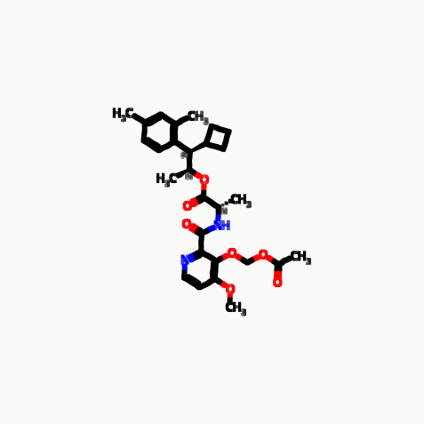 COc1ccnc(C(=O)N[C@@H](C)C(=O)O[C@@H](C)[C@@H](c2ccc(C)cc2C)C2CCC2)c1OCOC(C)=O